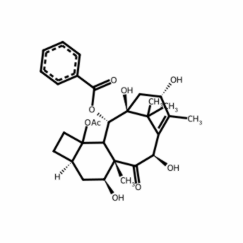 CC(=O)OC12CC[C@@H]1C[C@H](O)[C@@]1(C)C(=O)[C@H](O)C3=C(C)[C@@H](O)C[C@@](O)([C@@H](OC(=O)c4ccccc4)C21)C3(C)C